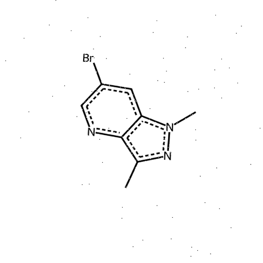 Cc1nn(C)c2cc(Br)cnc12